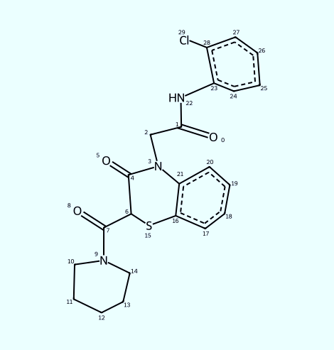 O=C(CN1C(=O)C(C(=O)N2CCCCC2)Sc2ccccc21)Nc1ccccc1Cl